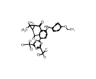 CCOc1ccc(Nc2ccc(-c3nc(C(Cl)(Cl)Cl)nc(C(Cl)(Cl)Cl)n3)c3c2C(=O)C2C(C3=O)C2(C)C)cc1